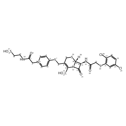 O=C(C[n+]1ccc(SCC2=C(C(=O)O)N3C(=O)[C@H](NC(=O)CSc4cc(Cl)ccc4Cl)[C@H]3SC2)cc1)NCCS(=O)(=O)O